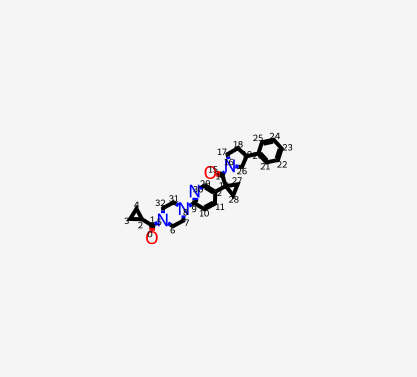 O=C(C1CC1)N1CCN(c2ccc(C3(C(=O)N4CCC(c5ccccc5)C4)CC3)cn2)CC1